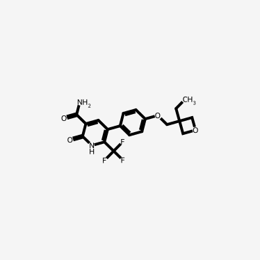 CCC1(COc2ccc(-c3cc(C(N)=O)c(=O)[nH]c3C(F)(F)F)cc2)COC1